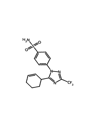 NS(=O)(=O)c1ccc(-n2nc(C(F)(F)F)nc2C2C=CCCC2)cc1